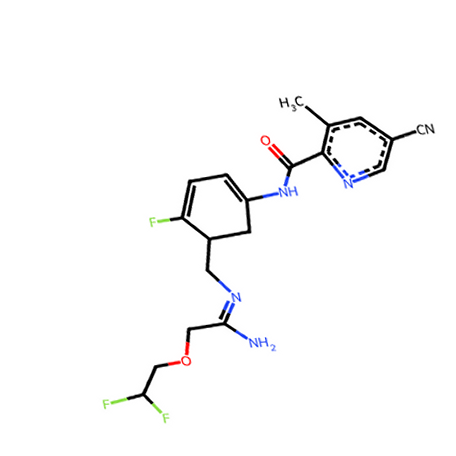 Cc1cc(C#N)cnc1C(=O)NC1=CC=C(F)C(C/N=C(/N)COCC(F)F)C1